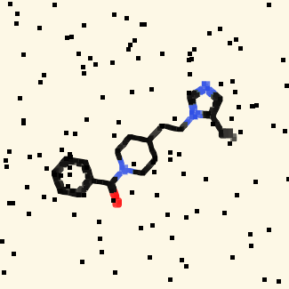 Cc1cncn1CCC1CCN(C(=O)c2ccccc2)CC1